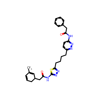 O=C(Cc1ccccc1)Nc1ccc(CCCCc2nnc(NC(=O)CC3C=C(C(F)(F)F)C=CC3)s2)nn1